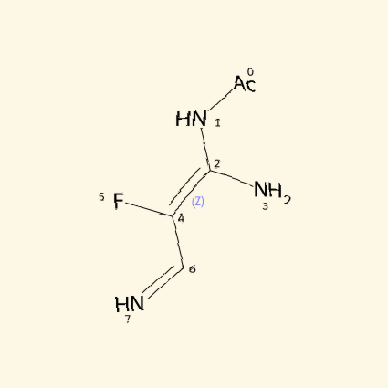 CC(=O)N/C(N)=C(\F)C=N